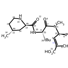 C/C(=C\[C@H](C(C)C)N(C)C(=O)[C@@H](NC(=O)[C@H]1C[C@H](C)CCN1)C(C)(C)C)C(=O)O